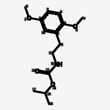 COc1ccc(OC)c(CCNC(=O)OC(C)C)c1